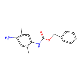 Cc1cc(NC(=O)OCc2ccccc2)c(C)cc1N